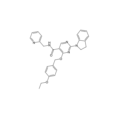 CCOc1ccc(COc2nc(N3CCc4ccccc43)ncc2C(=O)NCc2ccccn2)cc1